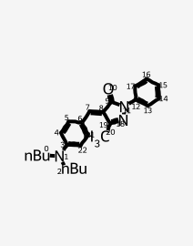 CCCCN(CCCC)c1ccc(/C=C2/C(=O)N(c3ccccc3)N=C2C)cc1